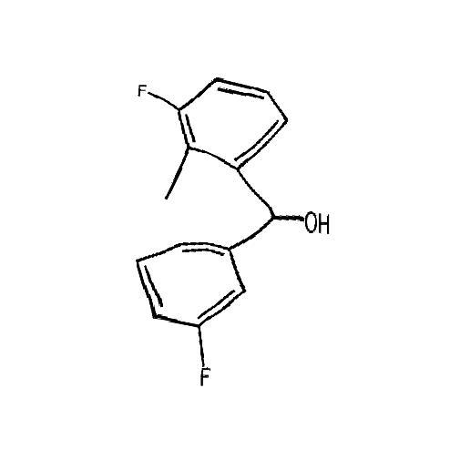 Cc1c(F)cccc1C(O)c1cccc(F)c1